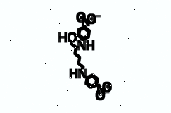 O=[N+]([O-])c1ccc(NCCCCC(CO)Nc2ccc([N+](=O)[O-])cc2)cc1